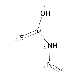 C=NNC(O)=S